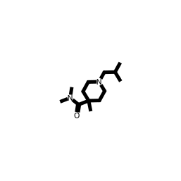 CC(C)CN1CCC(C)(C(=O)N(C)C)CC1